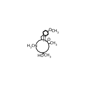 COc1ccc(CC2CCN(C)CCC[C@@](C)(O)CCCC(C)C(=O)N2)cc1